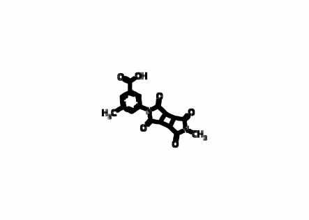 Cc1cc(C(=O)O)cc(N2C(=O)C3C4C(=O)N(C)C(=O)C4C3C2=O)c1